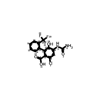 NC(=O)Nc1cc(Cl)c(C(=O)O)c(-c2ccccc2C(F)(F)F)c1O